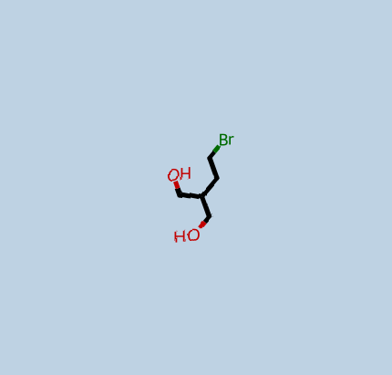 OCC(CO)CCBr